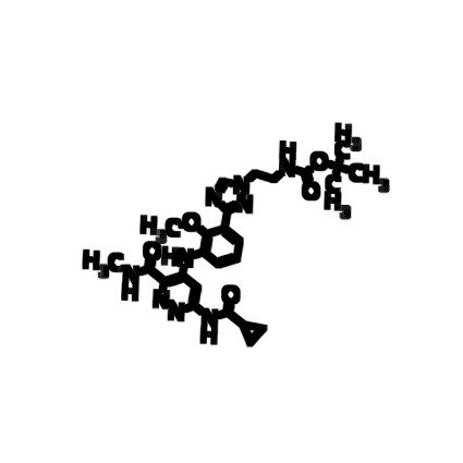 CNC(=O)c1nnc(NC(=O)C2CC2)cc1Nc1cccc(-c2ncn(CCNC(=O)OC(C)(C)C)n2)c1OC